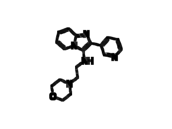 c1cncc(-c2nc3ccccn3c2NCCN2CCOCC2)c1